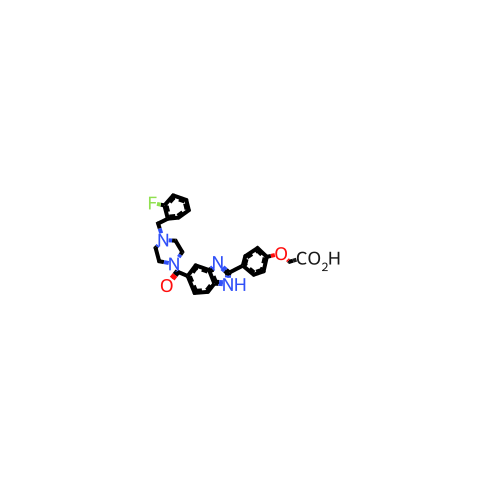 O=C(O)COc1ccc(-c2nc3cc(C(=O)N4CCN(Cc5ccccc5F)CC4)ccc3[nH]2)cc1